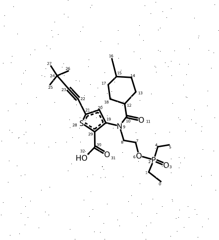 CCP(=O)(CC)OCCN(C(=O)C1CCC(C)CC1)c1cc(C#CC(C)(C)C)sc1C(=O)O